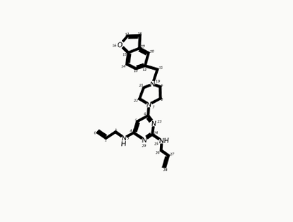 C=CCNc1cc(N2CCN(Cc3ccc4occc4c3)CC2)nc(NCC=C)n1